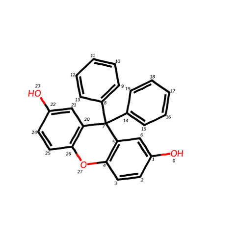 Oc1ccc2c(c1)C(c1ccccc1)(c1ccccc1)c1cc(O)ccc1O2